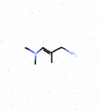 C/C(=C\N(C)C)CN